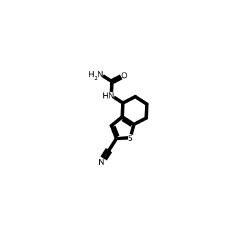 N#Cc1cc2c(s1)CCCC2NC(N)=O